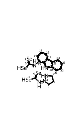 [Se]=C([SeH])NN1CCCN1.[Se]=C([SeH])Nc1cccc2c1[nH]c1ccccc12